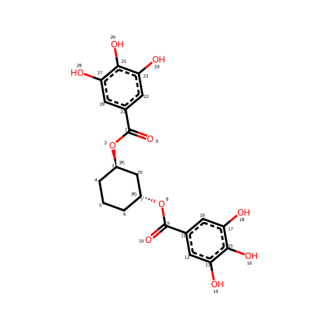 O=C(O[C@@H]1CCC[C@@H](OC(=O)c2cc(O)c(O)c(O)c2)C1)c1cc(O)c(O)c(O)c1